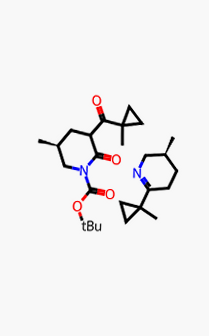 C[C@H]1CC(C(=O)C2(C)CC2)C(=O)N(C(=O)OC(C)(C)C)C1.C[C@H]1CCC(C2(C)CC2)=NC1